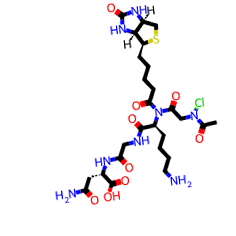 CC(=O)N(Cl)CC(=O)N(C(=O)CCCC[C@@H]1SC[C@@H]2NC(=O)N[C@@H]21)[C@@H](CCCCN)C(=O)NCC(=O)N[C@@H](CC(N)=O)C(=O)O